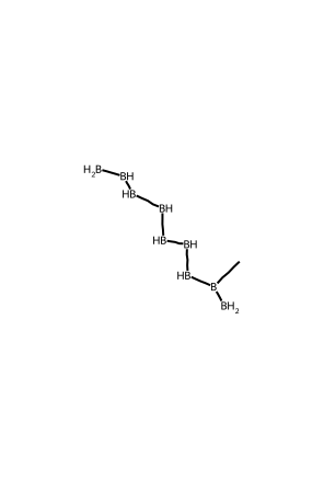 BBBBBBBB(B)C